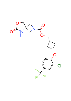 O=C1NC2(CO1)CN(C(=O)OC[C@H]1C[C@@H](Oc3ccc(C(F)(F)F)cc3Cl)C1)C2